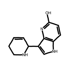 Oc1ccc2[nH]cc(C3C=CCCN3)c2n1